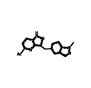 CC(=O)c1ccc2[nH]nc(Cc3ccc4c(cnn4C)c3)c2n1